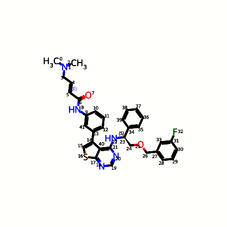 CN(C)C/C=C/C(=O)Nc1cccc(-c2csc3ncnc(N[C@H](COCc4cccc(F)c4)c4ccccc4)c23)c1